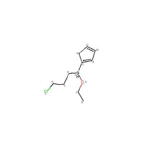 CCO[SiH](CCCCl)C1=CC=CC1